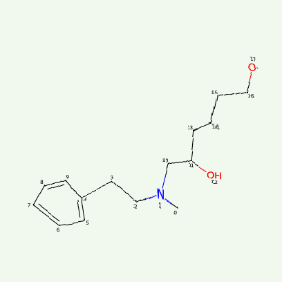 CN(CCc1ccccc1)CC(O)CCCC[O]